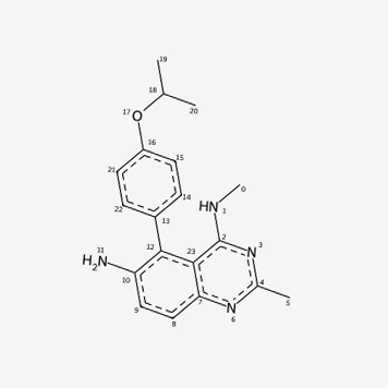 CNc1nc(C)nc2ccc(N)c(-c3ccc(OC(C)C)cc3)c12